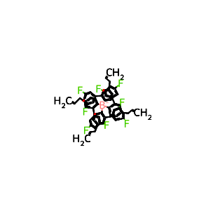 C=CCc1ccc([B-](c2ccc(CC=C)cc2-c2cc(F)cc(F)c2)(c2ccc(CC=C)cc2-c2cc(F)cc(F)c2)c2ccc(CC=C)cc2-c2cc(F)cc(F)c2)c(-c2cc(F)cc(F)c2)c1